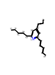 [CH2]CCc1cc(CCCCC)nc(CCCCC)c1